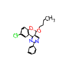 CCCCOC1Oc2ccc(Cl)cc2-c2nc(-c3ccccc3)ncc21